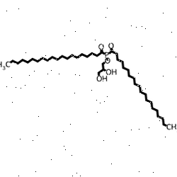 CCCCCCCCCCCCCCCCCCCC(=O)P(OCC(O)CO)C(=O)CCCCCCCCCCCCCCCCCCC